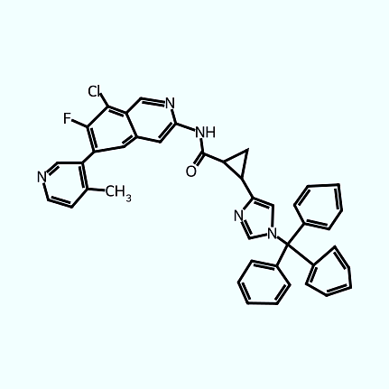 Cc1ccncc1-c1cc2cc(NC(=O)C3CC3c3cn(C(c4ccccc4)(c4ccccc4)c4ccccc4)cn3)ncc2c(Cl)c1F